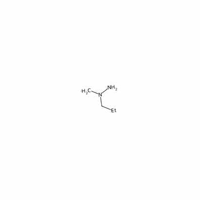 [CH2]N(N)CCC